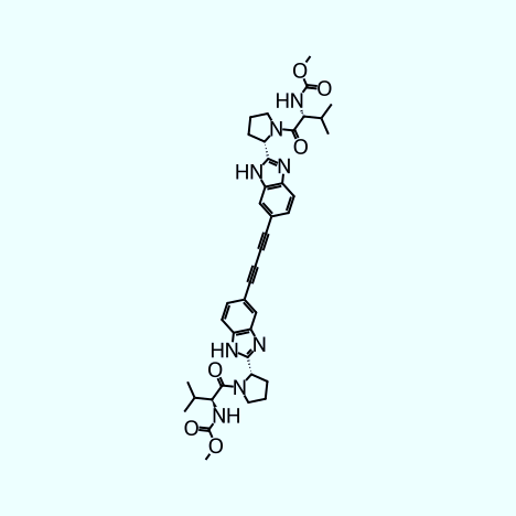 COC(=O)N[C@H](C(=O)N1CCC[C@H]1c1nc2cc(C#CC#Cc3ccc4nc([C@@H]5CCCN5C(=O)[C@H](NC(=O)OC)C(C)C)[nH]c4c3)ccc2[nH]1)C(C)C